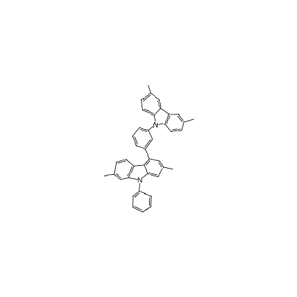 Cc1ccc2c(c1)c1cc(C)ccc1n2-c1cccc(-c2cc(C)cc3c2c2ccc(C)cc2n3-c2ccccc2)c1